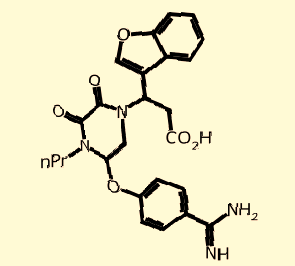 CCCN1C(=O)C(=O)N(C(CC(=O)O)c2coc3ccccc23)CC1Oc1ccc(C(=N)N)cc1